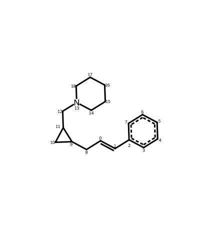 C(=C\c1ccccc1)/CC1CC1CN1CCCCC1